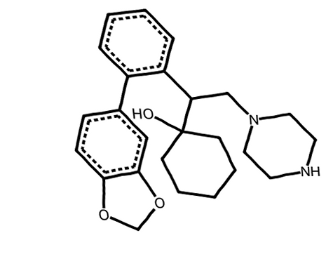 OC1(C(CN2CCNCC2)c2ccccc2-c2ccc3c(c2)OCO3)CCCCC1